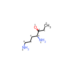 CCC(=O)[C@@H](N)CCCN